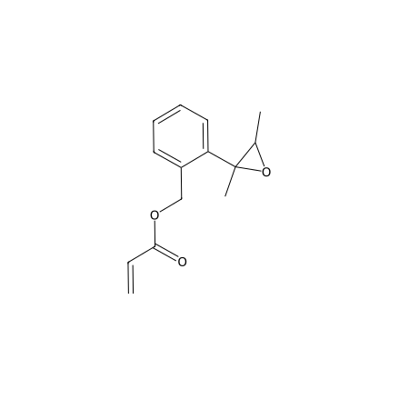 C=CC(=O)OCc1ccccc1C1(C)OC1C